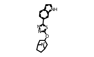 CN1C2CCC1CC(Oc1nnc(-c3ccc4cc[nH]c4c3)s1)C2